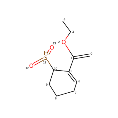 C=C(OCC)C1=CCCCC1[SH](=O)=O